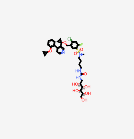 CN(CCCCNC(=O)NC[C@H](O)[C@@H](O)[C@H](O)[C@H](O)CO)S(=O)(=O)c1cc(COC2(c3cnccc3-c3ccccc3OC3CC3)CC2)c(Cl)cc1F